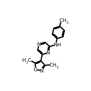 Cc1ccc(Nc2cncc(-c3c(C)noc3C)n2)cc1